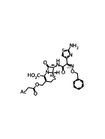 CC(=O)CC(=O)OCC1=C(C(=O)O)N2C(=O)[C@@H](NC(=O)/C(=N\OCc3ccccc3)c3csc(N)n3)[C@@H]2SC1